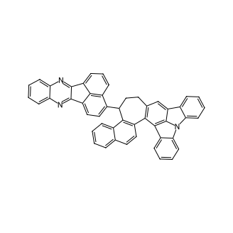 c1ccc2c3c(ccc2c1)-c1c(cc2c4ccccc4n4c5ccccc5c1c24)CCC3c1ccc2c3c(cccc13)-c1nc3ccccc3nc1-2